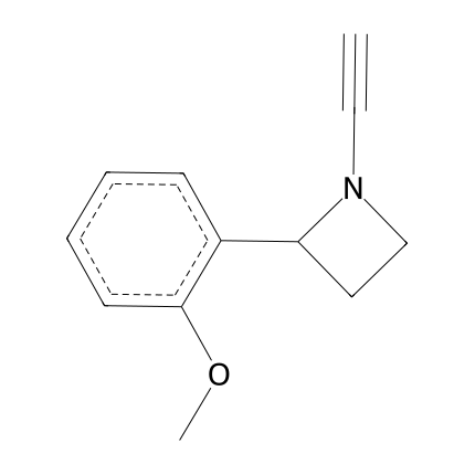 C#CN1CCC1c1ccccc1OC